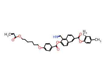 C=CC(=O)OCCCCCCOc1ccc(C(=O)Oc2ccc3cc(C(=O)Oc4ccc(C)cc4C)ccc3c2C=N)cc1